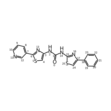 O=C(Nc1csc(-c2cccnc2)n1)Nc1nc(-c2ccccc2)cs1